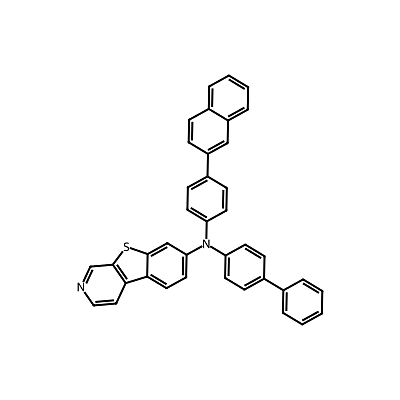 c1ccc(-c2ccc(N(c3ccc(-c4ccc5ccccc5c4)cc3)c3ccc4c(c3)sc3cnccc34)cc2)cc1